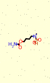 CN(CCCCOC(N)=O)[SH](=O)=O